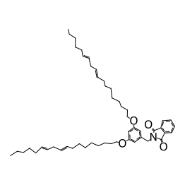 CCCCCC=CCC=CCCCCCCCCOc1cc(CN2C(=O)c3ccccc3C2=O)cc(OCCCCCCCCC=CCC=CCCCCC)c1